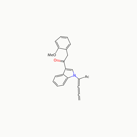 C=C=C=C(C(C)=O)n1cc(C(=O)Cc2ccccc2OC)c2ccccc21